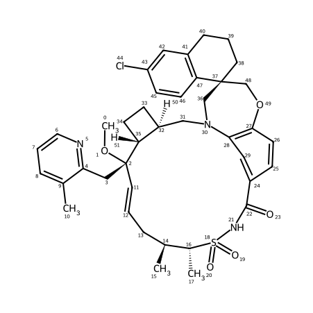 CO[C@@]1(Cc2ncccc2C)/C=C/C[C@H](C)[C@@H](C)S(=O)(=O)NC(=O)c2ccc3c(c2)N(C[C@@H]2CC[C@H]21)C[C@@]1(CCCc2cc(Cl)ccc21)CO3